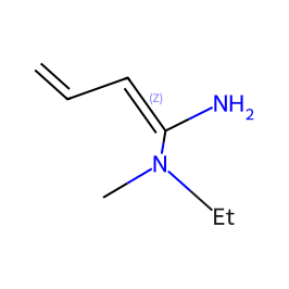 C=C/C=C(/N)N(C)CC